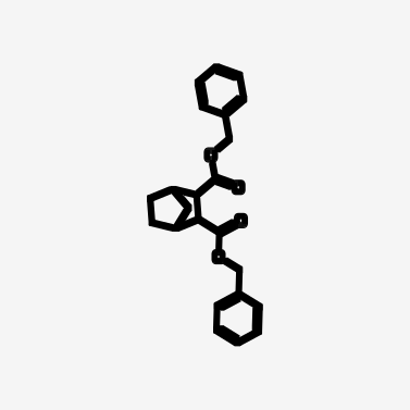 O=C(OCc1ccccc1)C1C2CCC(C2)C1C(=O)OCc1ccccc1